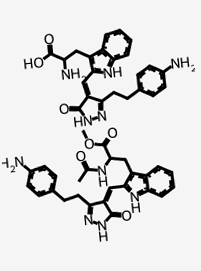 COC(=O)C(Cc1c(C=C2C(=O)NN=C2CCc2ccc(N)cc2)[nH]c2ccccc12)NC(C)=O.Nc1ccc(CCC2=NNC(=O)C2=Cc2[nH]c3ccccc3c2CC(N)C(=O)O)cc1